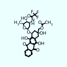 CC(=O)OC[C@]1(O)Cc2c(O)c3c(c(O)c2[C@@H](O[C@H]2C[C@H](NC(=O)C(F)(F)F)[C@@H](O)[C@H](C)O2)C1)C(=O)c1ccccc1C3=O